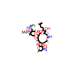 C=C(C)CC[C@@H](O)[C@@](C)(O)[C@H]1OC(=O)[C@H](C)[C@@H](O[C@H]2C[C@@](C)(OC)[C@](O)(CNCCC)[C@H](C)O2)[C@H](C)[C@@H](O[C@@H]2O[C@H](C)C[C@H](N(C)C)[C@H]2O)[C@](C)(O)C[C@@H](C)CN[C@H]1C